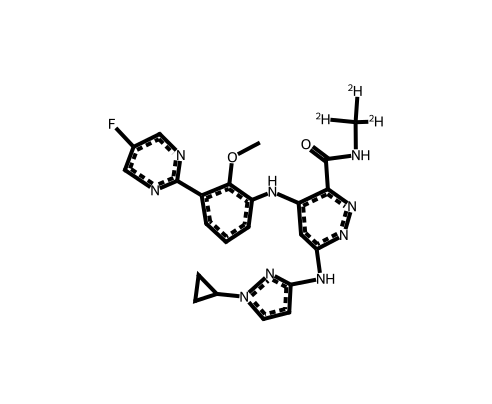 [2H]C([2H])([2H])NC(=O)c1nnc(Nc2ccn(C3CC3)n2)cc1Nc1cccc(-c2ncc(F)cn2)c1OC